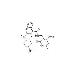 COc1cc(C)[nH]c(=O)c1CNC(=O)c1c(C)c(N(C)[C@H]2CC[C@H](N(C)C)CC2)cc2occc12